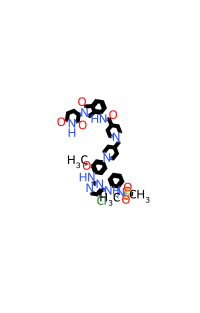 COc1cc(N2CCC(CN3CCC(C(=O)Nc4cccc5c4CN(C4CCC(=O)NC4=O)C5=O)CC3)CC2)ccc1Nc1ncc(Cl)c(Nc2ccccc2N(C)S(C)(=O)=O)n1